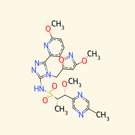 COc1cc(Cn2c(NS(=O)(=O)[C@@H](C)[C@H](OC)c3cnc(C)cn3)nnc2-c2cccc(OC)n2)on1